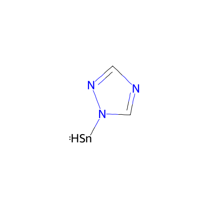 [SnH][n]1cncn1